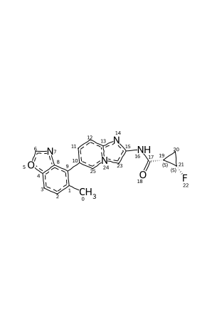 Cc1ccc2ocnc2c1-c1ccc2nc(NC(=O)[C@@H]3C[C@@H]3F)cn2c1